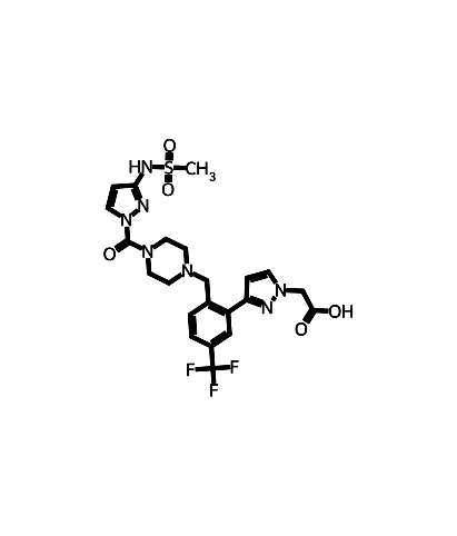 CS(=O)(=O)Nc1ccn(C(=O)N2CCN(Cc3ccc(C(F)(F)F)cc3-c3ccn(CC(=O)O)n3)CC2)n1